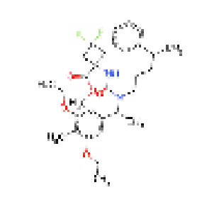 CCOc1cc(C(C)N(CCCC(C)c2ccccc2)C(=O)NC2(C(=O)OC)CC(F)(F)C2)cc(OCC)c1C